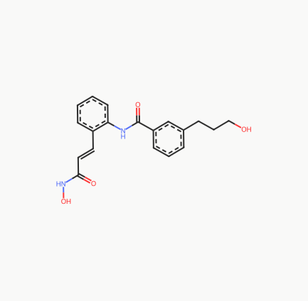 O=C(/C=C/c1ccccc1NC(=O)c1cccc(CCCO)c1)NO